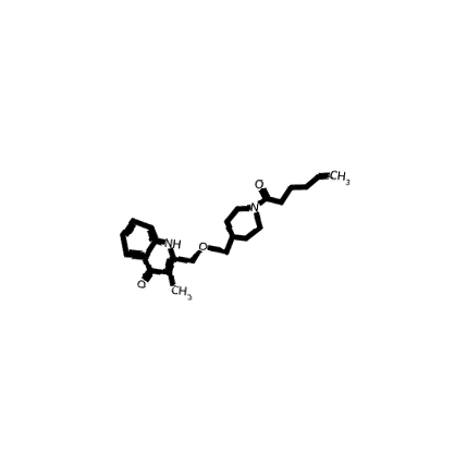 CCCCCC(=O)N1CCC(COCc2[nH]c3ccccc3c(=O)c2C)CC1